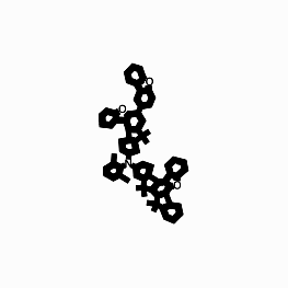 Cc1cccc(C)c1N(c1ccc2c(c1)C(C)(C)c1cc(-c3ccc4oc5ccccc5c4c3)c3oc4ccccc4c3c1-2)c1ccc2c(c1)C(C)(C)c1c3c(c4oc5ccccc5c4c1-2)-c1ccccc1C3(C)C